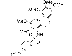 COc1cc(/C=C\c2ccc(OC)c(OC)c2NS(=O)(=O)c2ccc(OC(F)(F)F)cc2)cc(OC)c1OC